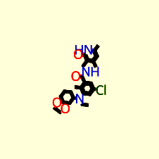 CCN(c1cc(Cl)cc(C(=O)NCc2c(C)cc(C)[nH]c2=O)c1C)C1CCCC2(C1)OCCO2